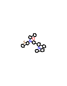 c1ccc(-c2ccc(-c3ccc(N(c4ccc5c(c4)sc4ccccc45)c4cccc5c4oc4ccccc45)cc3)cc2-n2c3ccccc3c3ccccc32)cc1